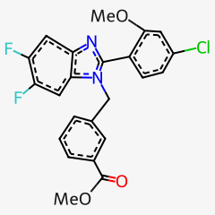 COC(=O)c1cccc(Cn2c(-c3ccc(Cl)cc3OC)nc3cc(F)c(F)cc32)c1